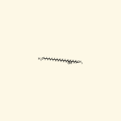 CCCCCCCCCCCCCCCCCCCCC(O)CCCCCCC